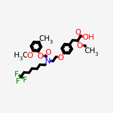 CCOC(Cc1ccc(OCCN(CCCCCCC(F)(F)F)C(=O)Oc2cc(C)ccc2OC)cc1)C(=O)O